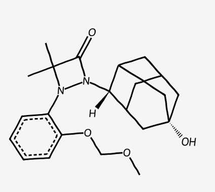 COCOc1ccccc1N1N([C@H]2C3CC4CC2C[C@@](O)(C4)C3)C(=O)C1(C)C